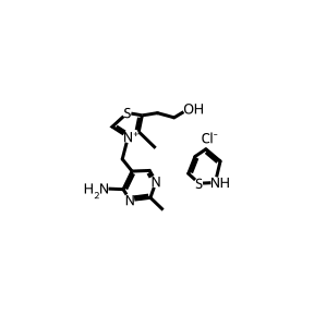 C1=CNSC=C1.Cc1ncc(C[n+]2csc(CCO)c2C)c(N)n1.[Cl-]